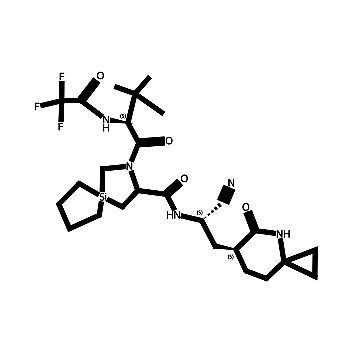 CC(C)(C)[C@H](NC(=O)C(F)(F)F)C(=O)N1C[Si]2(CCCC2)CC1C(=O)N[C@H](C#N)C[C@@H]1CCC2(CC2)NC1=O